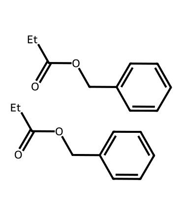 CCC(=O)OCc1ccccc1.CCC(=O)OCc1ccccc1